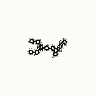 c1ccc(-c2cccc(-c3nc(-c4ccc(-c5ccc6c(c5)c5ccccc5c5nc7cc8c(cn7c65)oc5ccccc58)cc4)nc(-c4cccc(-c5ccccc5)c4)n3)c2)cc1